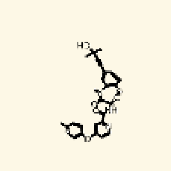 Cc1ccc(Oc2ccnc(C(=O)N[C@@H]3COc4ccc(C#CC(C)(C)O)cc4N(C)C3=O)c2)cn1